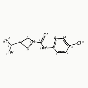 CC(C)N(C(C)C)C1CN(C(=O)Nc2ccc(Cl)cc2)C1